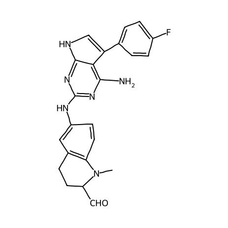 CN1c2ccc(Nc3nc(N)c4c(-c5ccc(F)cc5)c[nH]c4n3)cc2CCC1C=O